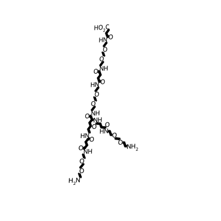 NCCOCCOCCNC(=O)CCC(=O)NCCCCC(NC(=O)CCC(=O)NCCOCCOCCN)C(=O)NCCOCCOCCNC(=O)CCC(=O)NCCOCCOCCNC(=O)CCC(=O)O